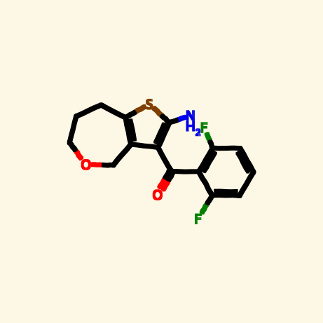 Nc1sc2c(c1C(=O)c1c(F)cccc1F)COCCC2